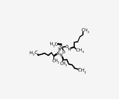 C=C[Si](ON=C(C)CCCCC)(ON=C(C)CCCCC)ON=C(C)CCCCC